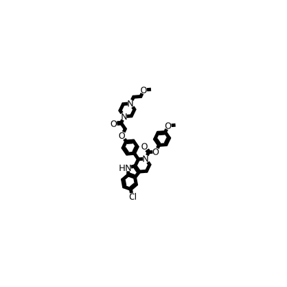 COCCN1CCN(C(=O)COc2ccc(C3c4[nH]c5ccc(Cl)cc5c4CCN3C(=O)Oc3ccc(OC)cc3)cc2)CC1